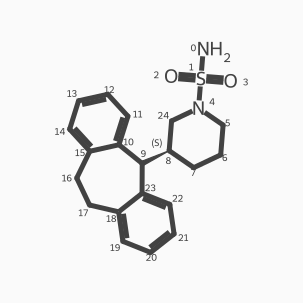 NS(=O)(=O)N1CCC[C@@H](C2c3ccccc3CCc3ccccc32)C1